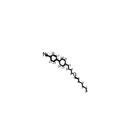 CCCCC/C=C/OCCCCC1CCC(c2ccc(C#N)cc2)CC1